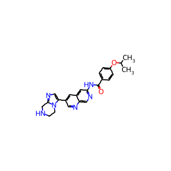 CC(C)Oc1ccc(C(=O)Nc2cc3cc(-c4cnc5n4CCNC5)cnc3cn2)cc1